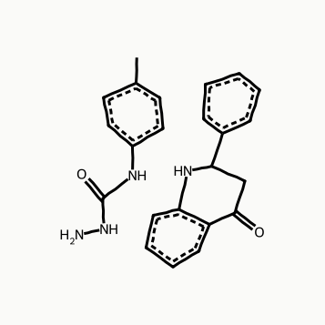 Cc1ccc(NC(=O)NN)cc1.O=C1CC(c2ccccc2)Nc2ccccc21